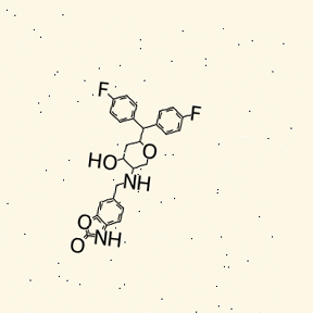 O=c1[nH]c2ccc(CNC3COC(C(c4ccc(F)cc4)c4ccc(F)cc4)CC3O)cc2o1